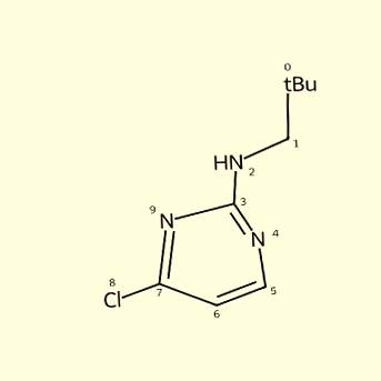 CC(C)(C)CNc1nccc(Cl)n1